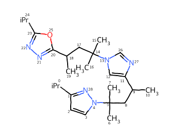 CC(C)c1ccn(C(C)(C)CC(C)c2cn(C(C)(C)CC(C)c3nnc(C(C)C)o3)cn2)n1